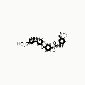 NCc1cccc(NC(=O)Nc2ccc(Oc3ccnc(-c4cc(C(=O)O)c[nH]4)c3)cc2)c1